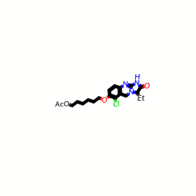 CCC1C(=O)NC2=Nc3ccc(OCCCCCCOC(C)=O)c(Cl)c3CN21